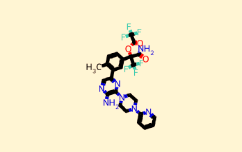 Cc1ccc(C(OC(=O)C(F)(F)F)(C(N)=O)C(F)(F)F)cc1-c1cnc(N)c(N2CCN(c3ccccn3)CC2)n1